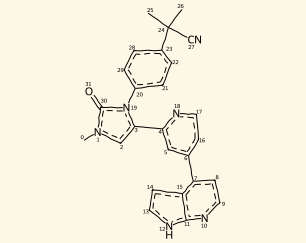 Cn1cc(-c2cc(-c3ccnc4[nH]ccc34)ccn2)n(-c2ccc(C(C)(C)C#N)cc2)c1=O